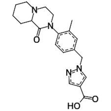 Cc1cc(Cn2cc(C(=O)O)cn2)ccc1N1CCN2CCCCC2C1=O